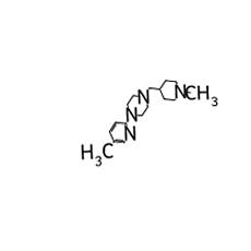 Cc1ccc(N2CCN(CC3CCN(C)CC3)CC2)nc1